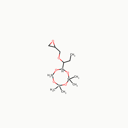 CCC(OCC1CO1)[SiH]1O[SiH2]O[Si](C)(C)O[Si](C)(C)O1